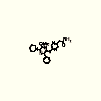 COc1nc(Sc2cnc(CC(N)=O)cn2)c(-c2ccccc2)nc1N1CCCCC1